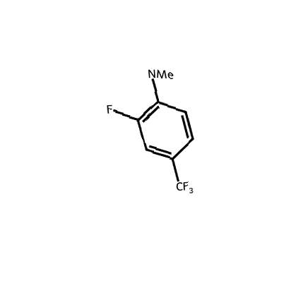 CNc1ccc(C(F)(F)F)cc1F